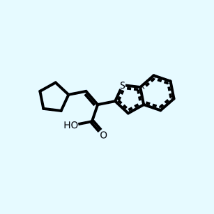 O=C(O)C(=CC1CCCC1)c1cc2ccccc2s1